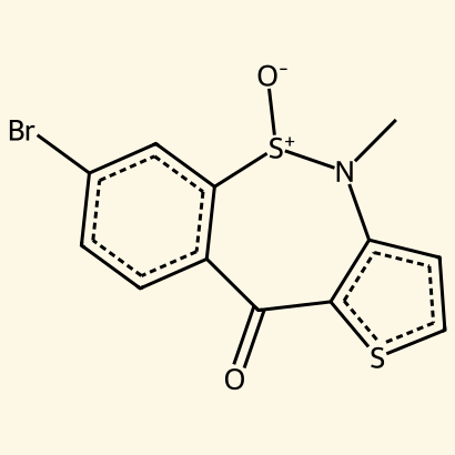 CN1c2ccsc2C(=O)c2ccc(Br)cc2[S+]1[O-]